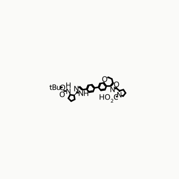 CC(C)(C)OC(=O)N[C@@H]1CCC[C@@H]1c1ncc(-c2ccc(-c3ccc4c(c3)OCCc3oc(C5CCCN5C(=O)O)nc3-4)cc2)[nH]1